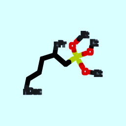 CCCCCCCCCCCCCC(CCC)CS(OCC)(OCC)OCC